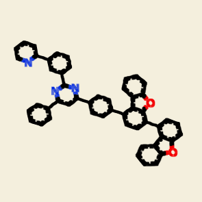 c1ccc(-c2cc(-c3ccc(-c4ccc(-c5cccc6oc7ccccc7c56)c5oc6ccccc6c45)cc3)nc(-c3cccc(-c4ccccn4)c3)n2)cc1